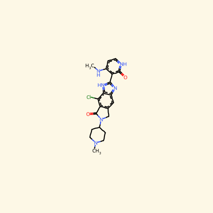 CNc1cc[nH]c(=O)c1-c1nc2cc3c(c(Cl)c2[nH]1)C(=O)N(C1CCN(C)CC1)C3